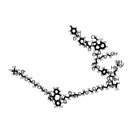 Cc1ccc(C(=O)Nc2ccc3nc(C(=O)N4C[C@@H](CCl)c5c4cc(OC(=O)N(CCOCCO)CCN(C)C(=O)OCc4ccc(NC(=O)[C@H](CCCNC(N)=O)NC(=O)[C@@H](NC(=O)CCOCCOCCOCCOCCNC(=O)CCC(=O)N6Cc7ccccc7-c7c(nnn7CCOCCOCCOCCOCCC(=O)NCC(C)(C)C)-c7ccccc76)C(C)C)cc4)c4cccc(C)c54)cn3c2)cc1